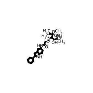 CO[C@](C)(/C(=N/OCC(=O)Nc1ccc2[nH]c(-c3ccccc3)cc2c1)[C@@H](O)[C@@H](C)O)C(C)C